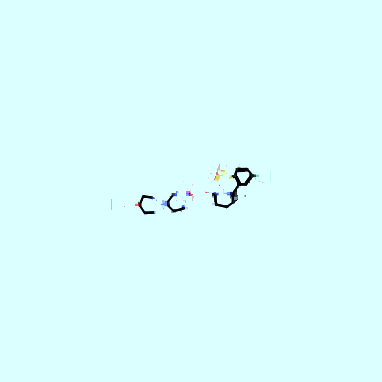 O=C(OC[C@H]1CCC[C@H]2c3cc(Cl)ccc3S(=O)(=O)N12)N1CCC(N2CCC(O)CC2)C1